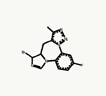 Cc1nnn2c1CC1C(Br)N=CN1c1ccc(F)cc1-2